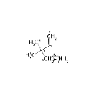 C=CC(C)(C)C.N.N